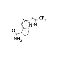 NC(=O)C1CCc2c1cnc1cc(C(F)(F)F)nn21